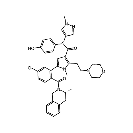 C[C@@H]1Cc2ccccc2CN1C(=O)c1ccc(Cl)cc1-c1cc(C(=O)N(c2ccc(O)cc2)c2cnn(C)c2)c(CCN2CCOCC2)n1C